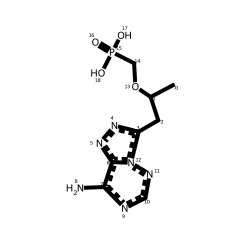 CC(Cc1nnc2c(N)ncnn12)OCP(=O)(O)O